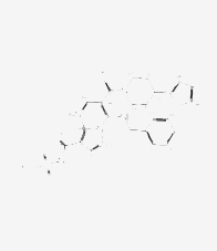 CS(=O)(=O)NC(=O)c1cnn2c(NCc3ccccc3)c(C(=O)N3CCC(c4cccs4)CC3)cnc12